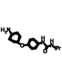 CC(C)NC(=O)Nc1ccc(Oc2ccc(N)cc2)cc1